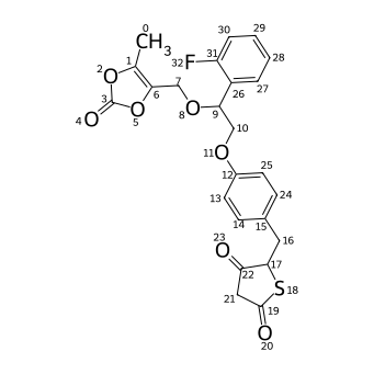 Cc1oc(=O)oc1COC(COc1ccc(CC2SC(=O)CC2=O)cc1)c1ccccc1F